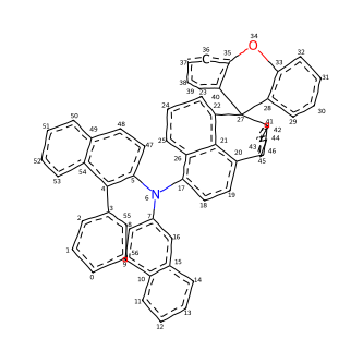 c1ccc(-c2c(N(c3ccc4ccccc4c3)c3ccc4c5c(cccc35)C3(c5ccccc5Oc5ccccc53)c3ccccc3-4)ccc3ccccc23)cc1